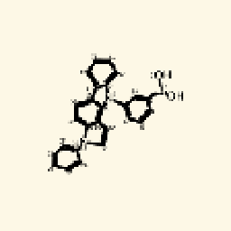 OB(O)c1cccc(-n2c3ccccc3c3ccc4c(ccn4-c4ccccc4)c32)c1